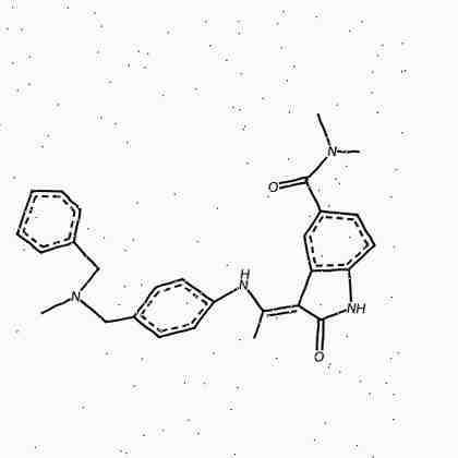 CC(Nc1ccc(CN(C)Cc2ccccc2)cc1)=C1C(=O)Nc2ccc(C(=O)N(C)C)cc21